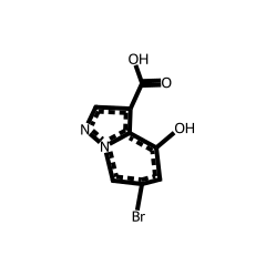 O=C(O)c1cnn2cc(Br)cc(O)c12